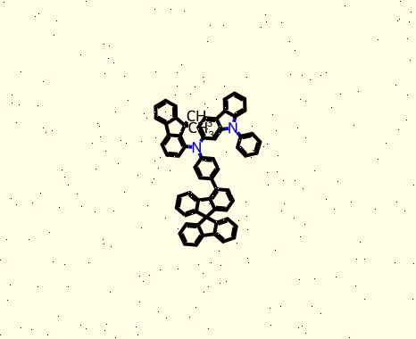 CC1(C)c2ccccc2-c2cccc(N(c3ccc(-c4cccc5c4-c4ccccc4C54c5ccccc5-c5ccccc54)cc3)c3ccc4c5ccccc5n(-c5ccccc5)c4c3)c21